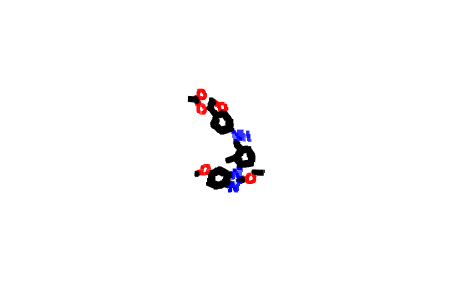 CCOc1nc2ccc(OC)cc2n1-c1cccc(CNc2ccc3c(c2)OC[C@H]3OC(C)=O)c1C